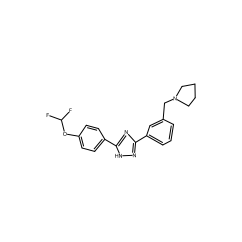 FC(F)Oc1ccc(-c2nc(-c3cccc(CN4CCCC4)c3)n[nH]2)cc1